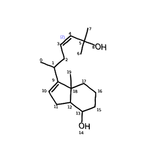 CC(C/C=C\C(C)(C)O)C1=CCC2C(O)CCCC12C